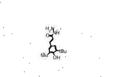 CC(C)(C)c1cc(C=CC(=O)NN)cc(C(C)(C)C)c1O